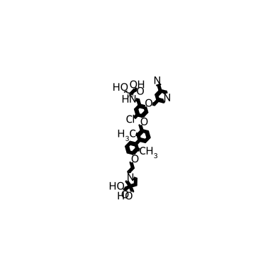 Cc1c(COc2cc(OCc3cncc(C#N)c3)c(CN[C@H](CO)C(=O)O)cc2Cl)cccc1-c1cccc(OCCCN2CCC(CO)(C(=O)O)C2)c1C